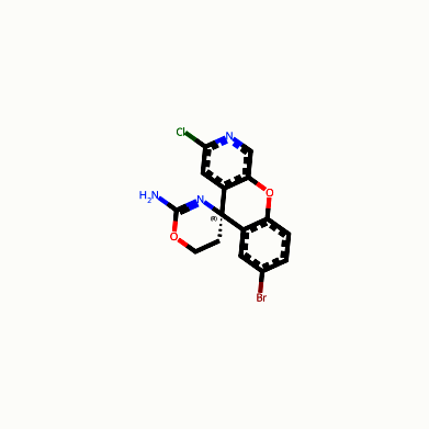 NC1=N[C@]2(CCO1)c1cc(Br)ccc1Oc1cnc(Cl)cc12